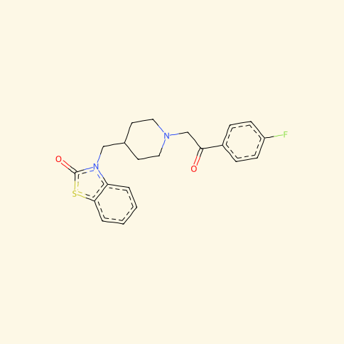 O=C(CN1CCC(Cn2c(=O)sc3ccccc32)CC1)c1ccc(F)cc1